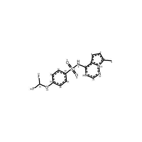 Cc1ccc2c(NS(=O)(=O)c3ccc(OC(F)F)cc3)ncnn12